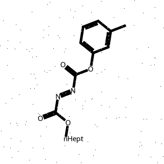 CCCCCCCOC(=O)N=NC(=O)Oc1cccc(C)c1